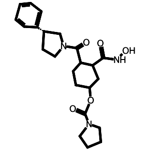 O=C(NO)C1CC(OC(=O)N2CCCC2)CCC1C(=O)N1CC[C@H](c2ccccc2)C1